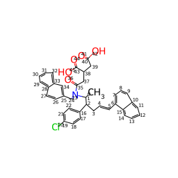 CC(C(CC=Cc1cccc2ccccc12)c1ccc(Cl)cc1)N(Cc1ccc2ccccc2c1)C(=O)CC(CC(=O)O)C(=O)O